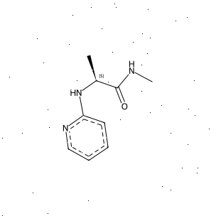 CNC(=O)[C@H](C)Nc1ccccn1